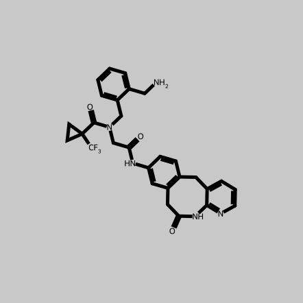 NCc1ccccc1CN(CC(=O)Nc1ccc2c(c1)CC(=O)Nc1ncccc1C2)C(=O)C1(C(F)(F)F)CC1